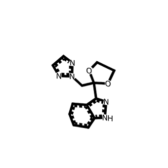 c1ccc2c(C3(Cn4nccn4)OCCO3)n[nH]c2c1